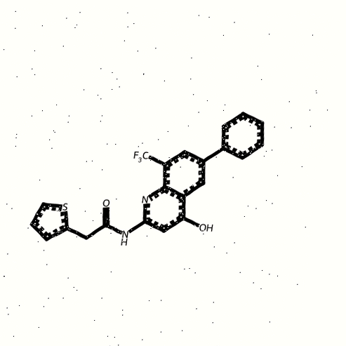 O=C(Cc1cccs1)Nc1cc(O)c2cc(-c3ccccc3)cc(C(F)(F)F)c2n1